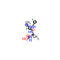 C[C@@H](CNC(=O)CO)CNC(=O)c1cc(F)c(-c2cnn(C)c2)nc1NCCc1cccc(F)c1